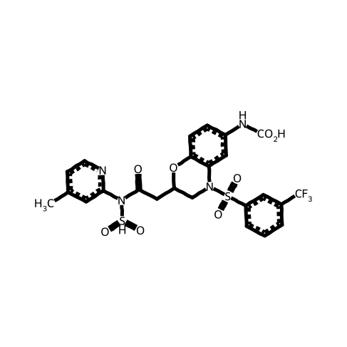 Cc1ccnc(N(C(=O)CC2CN(S(=O)(=O)c3cccc(C(F)(F)F)c3)c3cc(NC(=O)O)ccc3O2)[SH](=O)=O)c1